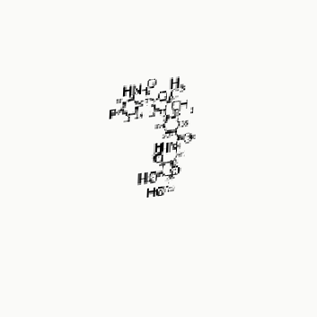 CC1(C)OC(=C2C(=O)Nc3cc(F)ccc32)C=C1c1ccc(C(=O)NC[C@H]2O[C@H](CO)[C@@H](O)[C@@H]2O)cc1